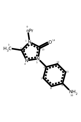 CCCn1c(C)nn(-c2ccc(N)cc2)c1=O